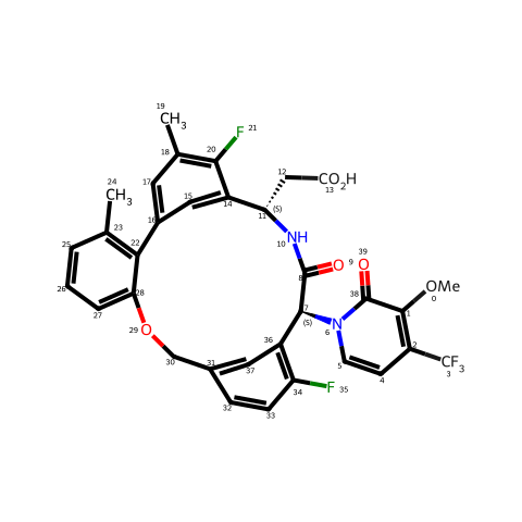 COc1c(C(F)(F)F)ccn([C@@H]2C(=O)N[C@@H](CC(=O)O)c3cc(cc(C)c3F)-c3c(C)cccc3OCc3ccc(F)c2c3)c1=O